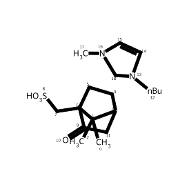 CC1(C)C2CCC1(CS(=O)(=O)O)C(=O)C2.CCCCN1C=CN(C)C1